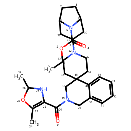 CCOC(=O)N1C2CCC1CC(N1CCC3(CC1)CN(C(=O)C1=C(C)OC(C)N1)Cc1ccccc13)C2